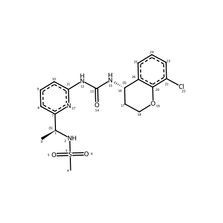 C[C@H](NS(C)(=O)=O)c1cccc(NC(=O)N[C@H]2CCOc3c(Cl)cccc32)n1